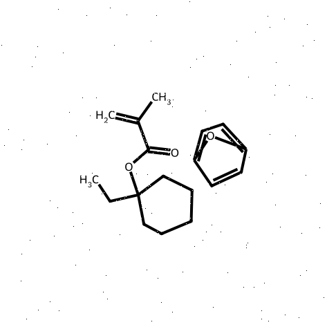 C=C(C)C(=O)OC1(CC)CCCCC1.c1cc2ccc1o2